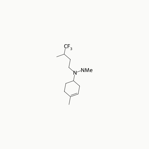 CNN(CCC(C)C(F)(F)F)C1CC=C(C)CC1